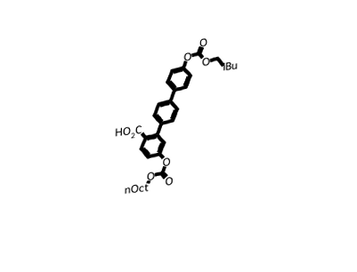 CCCCCCCCOC(=O)Oc1ccc(C(=O)O)c(-c2ccc(-c3ccc(OC(=O)OCC(C)CC)cc3)cc2)c1